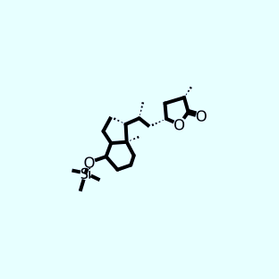 C[C@H](C[C@@H]1C[C@H](C)C(=O)O1)[C@H]1CCC2C(O[Si](C)(C)C)CCC[C@@]21C